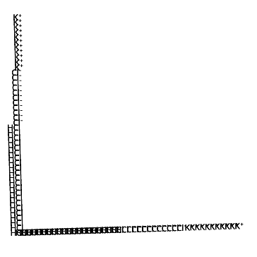 Cl.Cl.Cl.Cl.Cl.Cl.Cl.Cl.Cl.Cl.Cl.Cl.Cl.Cl.Cl.Cl.Cl.Cl.Cl.Cl.Cl.Cl.Cl.Cl.Cl.Cl.Cl.Cl.Cl.Cl.Cl.Cl.Cl.Cl.Cl.Cl.Cl.Cl.Cl.Cl.Cl.Cl.Cl.[Cl-].[Cl-].[Cl-].[Cl-].[Cl-].[Cl-].[Cl-].[Cl-].[Cl-].[Cl-].[Cl-].[Cl-].[Cl-].[Cl-].[Cl-].[Cl-].[Cl-].[Cl-].[Cl-].[Cl-].[Cl-].[Cl-].[K+].[K+].[K+].[K+].[K+].[K+].[K+].[K+].[K+].[K+].[K+].[K+].[K+].[K+].[K+].[K+].[K+].[K+].[K+].[K+].[K+].[K+]